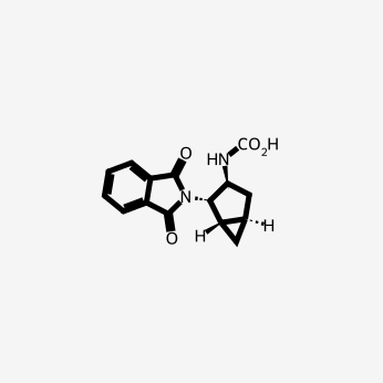 O=C(O)N[C@H]1C[C@H]2C[C@@H]2[C@@H]1N1C(=O)c2ccccc2C1=O